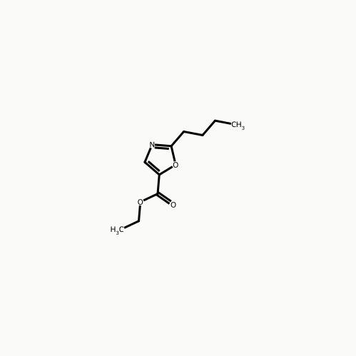 CCCCc1ncc(C(=O)OCC)o1